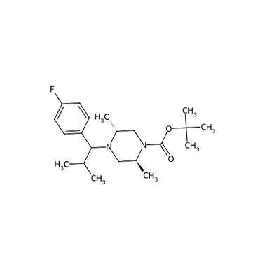 CC(C)C(c1ccc(F)cc1)N1C[C@H](C)N(C(=O)OC(C)(C)C)C[C@H]1C